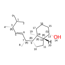 CC(C)[C@@H](C)C=C[C@@H](C)[C@H]1CC[C@H]2[C@@H](O)CCC[C@]12C